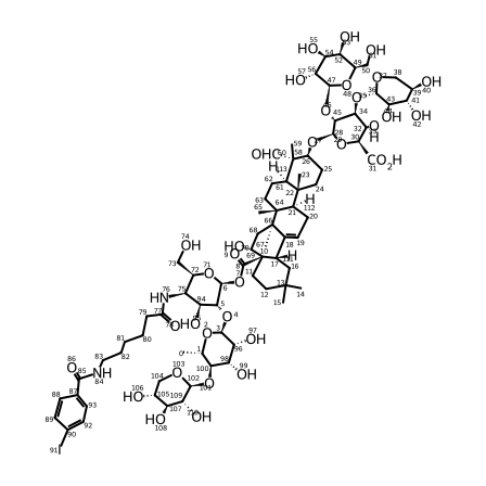 C[C@@H]1O[C@@H](O[C@H]2[C@H](OC(=O)[C@]34CCC(C)(C)C[C@H]3C3=CC[C@@H]5[C@@]6(C)CC[C@H](O[C@@H]7O[C@H](C(=O)O)[C@@H](O)[C@H](O[C@@H]8OC[C@@H](O)[C@H](O)[C@H]8O)[C@H]7O[C@@H]7O[C@H](CO)[C@H](O)[C@H](O)[C@H]7O)[C@@](C)(C=O)[C@@H]6CC[C@@]5(C)[C@]3(C)C[C@H]4O)O[C@H](CO)[C@H](NC(=O)CCCCCNC(=O)c3ccc(I)cc3)[C@@H]2O)[C@H](O)[C@H](O)[C@H]1O[C@@H]1OC[C@@H](O)[C@H](O)[C@H]1O